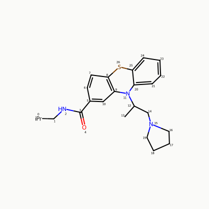 CC(C)CNC(=O)c1ccc2c(c1)N(C(C)CN1CCCC1)c1ccccc1S2